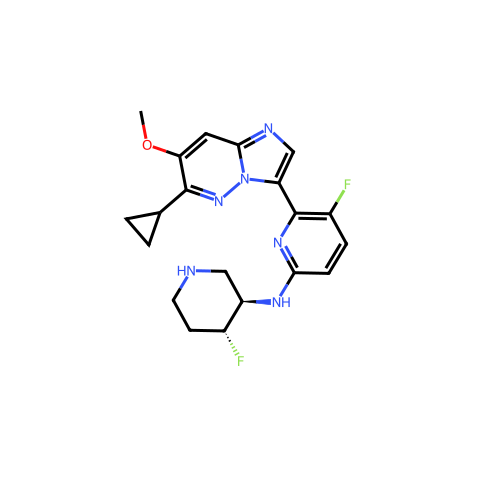 COc1cc2ncc(-c3nc(N[C@@H]4CNCC[C@H]4F)ccc3F)n2nc1C1CC1